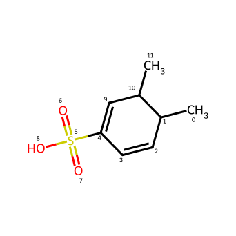 CC1C=CC(S(=O)(=O)O)=CC1C